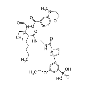 CCCCCC(C(=O)NCNC(=O)c1ccc(-c2cc(OCC)cc(P(=O)(O)O)c2)o1)[C@@H](CC)N(C=O)OC(=O)c1ccc2c(c1)N(C)CCO2